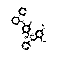 COc1ccc(CN(c2ccncn2)S(=O)(=O)c2cc(F)c(O[C@H]3CCCC[C@@H]3c3cccnc3)cc2F)c(OC)c1